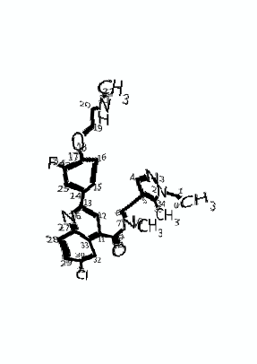 CCn1ncc(CN(C)C(=O)c2cc(-c3ccc(OCCNC)c(F)c3)nc3ccc(Cl)cc23)c1C